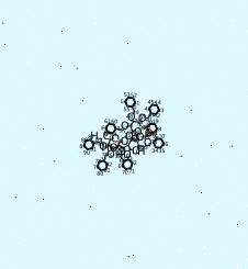 C[C@@H]1O[C@@H](O[C@@]2(CCO)C(O)O[C@@H]3COC(c4ccccc4)O[C@@H]3[C@@H]2O[C@H]2O[C@H](COCc3ccccc3)[C@H](OCc3ccccc3)[C@H](OCc3ccccc3)[C@H]2OCc2ccccc2)[C@@H](OCc2ccccc2)[C@H](OCc2ccccc2)[C@@H]1OCc1ccccc1